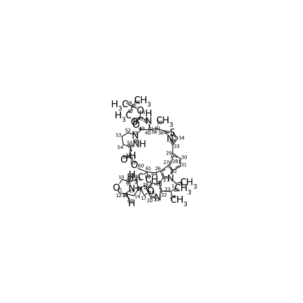 CCn1c(-c2cc([C@H]3C[C@H]4COC[C@@H](C3)N4C3COC3)cnc2C(C)C)c2c3cc(ccc31)-c1csc(n1)[C@@H](C)[C@H](NC(=O)OC(C)(C)C)C(=O)N1CCC[C@H](N1)C(=O)OCC(C)(C)C2